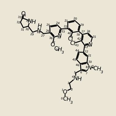 COCCNCc1cn(C)c2cc(-c3nccc(-c4cccc(-c5ccc(CNCC6CCC(=O)N6)c(OC)n5)c4Cl)c3Cl)ccc12